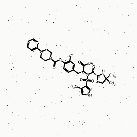 Cc1c[nH]nc1S(=O)(=O)N(C(=O)[C@H]1NC(C)(C)CS1)[C@@H](Cc1ccc(OC(=O)N2CCN(c3ccccn3)CC2)c(Cl)c1)C(=O)O